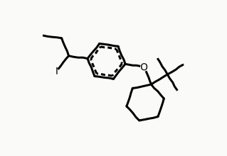 CCC(I)c1ccc(OC2(C(C)(C)C)CCCCC2)cc1